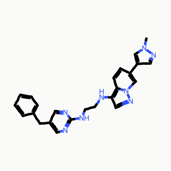 Cn1cc(-c2ccc3c(NCCNc4ncc(Cc5ccccc5)cn4)cnn3c2)cn1